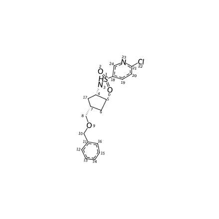 O=S(=O)(N[C@@H]1CC[C@H](COCc2ccccc2)C1)c1ccc(Cl)nc1